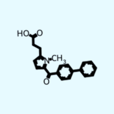 Cn1c(CCC(=O)O)ccc1C(=O)c1ccc(-c2ccccc2)cc1